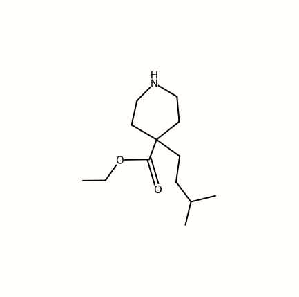 CCOC(=O)C1(CCC(C)C)CCNCC1